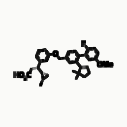 COc1ccc(F)c(-c2ccc(COc3cccc([C@@H](CC(=O)O)[C@@H]4C[C@H]4C)c3)cc2C2=CCCC2(C)C)c1